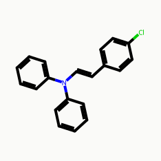 Clc1ccc(C=CN(c2ccccc2)c2ccccc2)cc1